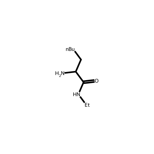 CCCCCC(N)C(=O)NCC